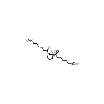 CCCCCCCCCCCCCCCC(=O)N1CCC[C@]1(C(=O)O)C(=O)CCCCCCCCCCCCCCC